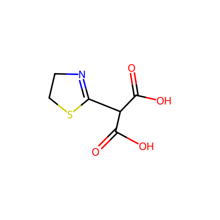 O=C(O)C(C(=O)O)C1=NCCS1